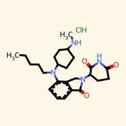 CCCCCN(c1cccc2c1CN(C1CCC(=O)NC1=O)C2=O)C1CCC(NC)CC1.Cl